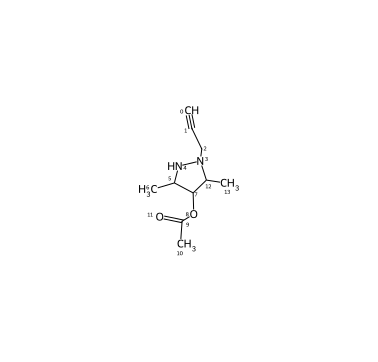 C#CCN1NC(C)C(OC(C)=O)C1C